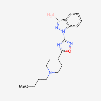 Bc1nn(-c2noc(C3CCN(CCCOC)CC3)n2)c2ccccc12